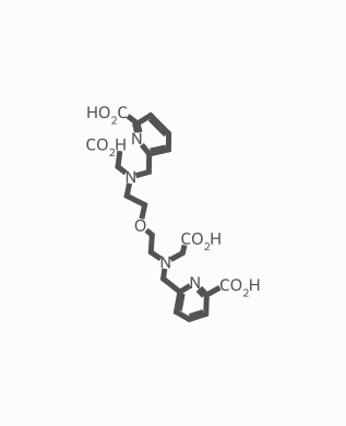 O=C(O)CN(CCOCCN(CC(=O)O)Cc1cccc(C(=O)O)n1)Cc1cccc(C(=O)O)n1